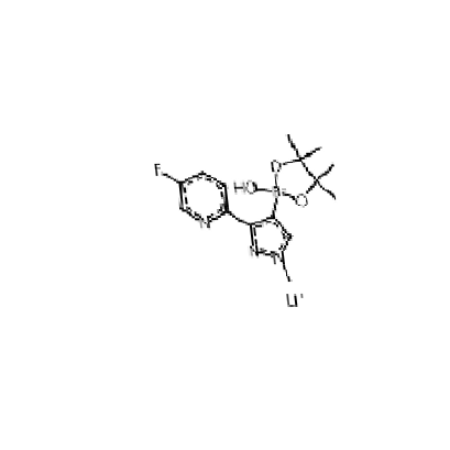 Cn1cc([B-]2(O)OC(C)(C)C(C)(C)O2)c(-c2ccc(F)cn2)n1.[Li+]